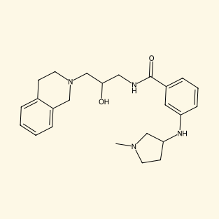 CN1CCC(Nc2cccc(C(=O)NCC(O)CN3CCc4ccccc4C3)c2)C1